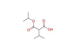 CC(C)OC(=O)C(C(=O)O)C(C)C